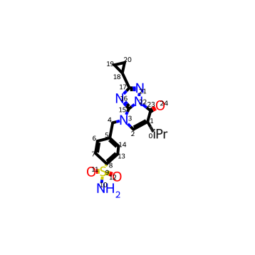 CC(C)c1cn(Cc2ccc(S(N)(=O)=O)cc2)c2nc(C3CC3)nn2c1=O